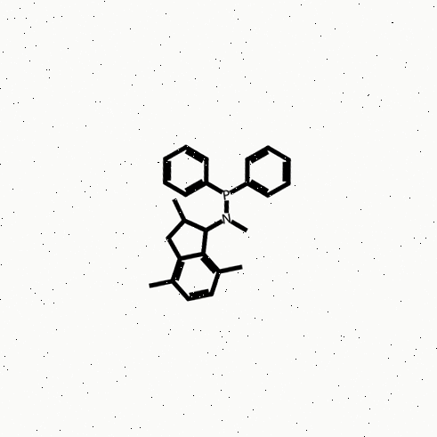 Cc1ccc(C)c2c1CC(C)C2N(C)P(c1ccccc1)c1ccccc1